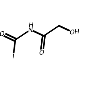 O=C(I)NC(=O)CO